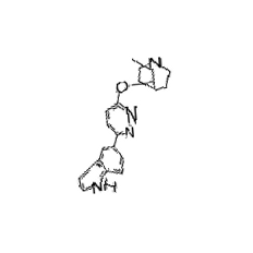 CC1C(Oc2ccc(-c3ccc4[nH]ccc4c3)nn2)C2CCN1CC2